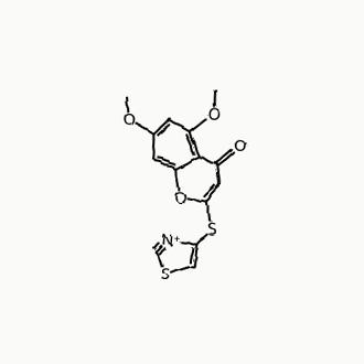 COc1cc(OC)c2c(=O)cc(Sc3csc#[n+]3)oc2c1